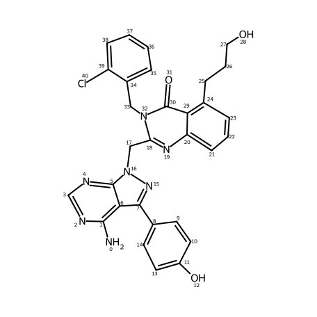 Nc1ncnc2c1c(-c1ccc(O)cc1)nn2Cc1nc2cccc(CCCO)c2c(=O)n1Cc1ccccc1Cl